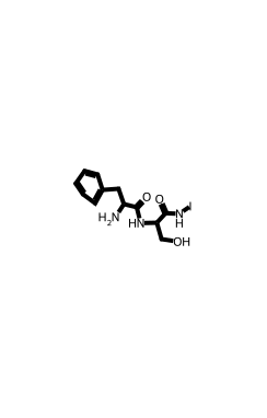 NC(Cc1ccccc1)C(=O)NC(CO)C(=O)NI